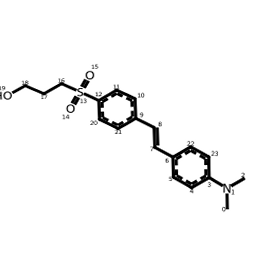 CN(C)c1ccc(C=Cc2ccc(S(=O)(=O)CCCO)cc2)cc1